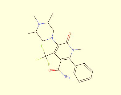 CC1CN(c2c(C(F)(F)F)c(C(N)=O)c(-c3ccccc3)n(C)c2=O)CC(C)N1C